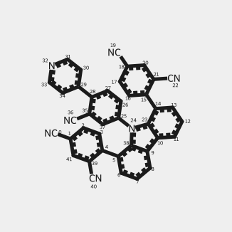 N#Cc1ccc(-c2cccc3c4cccc(-c5ccc(C#N)cc5C#N)c4n(-c4ccc(-c5ccncc5)c(C#N)c4)c23)c(C#N)c1